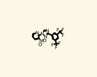 O=[N+]([O-])c1cccnc1-n1cnc(-c2cc(C(F)(F)F)cc(C(F)(F)F)c2)n1